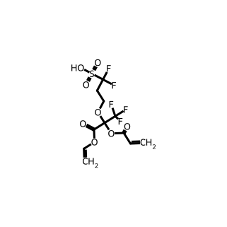 C=COC(=O)C(OCCC(F)(F)S(=O)(=O)O)(OC(=O)C=C)C(F)(F)F